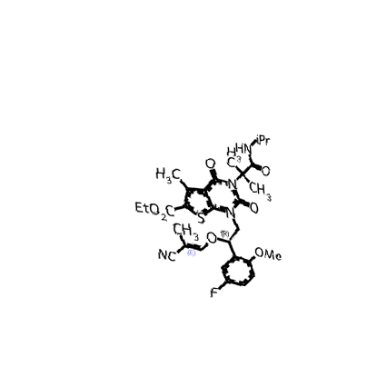 CCOC(=O)c1sc2c(c1C)c(=O)n(C(C)(C)C(=O)NC(C)C)c(=O)n2C[C@H](O/C=C(\C)C#N)c1cc(F)ccc1OC